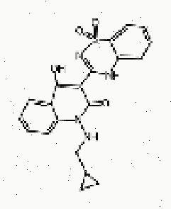 O=c1c(C2=NS(=O)(=O)c3c[c]ccc3N2)c(O)c2ccccc2n1NCC1CC1